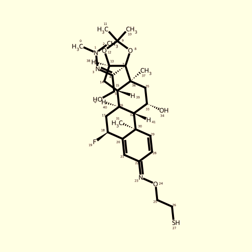 CN(C)/N=C(/CO)[C@@]12OC(C)(C)O[C@@H]1C[C@H]1[C@@H]3C[C@H](F)C4=C/C(=N/OCCS)C=C[C@]4(C)[C@H]3[C@@H](O)C[C@@]12C